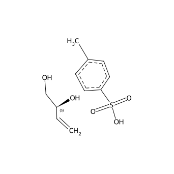 C=C[C@H](O)CO.Cc1ccc(S(=O)(=O)O)cc1